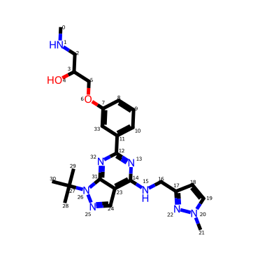 CNCC(O)COc1cccc(-c2nc(NCc3ccn(C)n3)c3cnn(C(C)(C)C)c3n2)c1